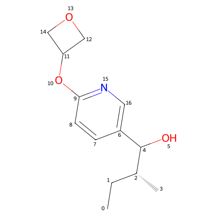 CC[C@@H](C)C(O)c1ccc(OC2COC2)nc1